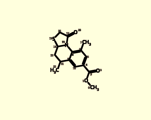 COC(=O)c1cc(C)c2c(c1)C(C)CC1SCC(=O)N21